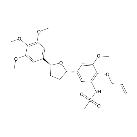 C=CCOc1c(NS(C)(=O)=O)cc([C@@H]2CC[C@@H](c3cc(OC)c(OC)c(OC)c3)O2)cc1OC